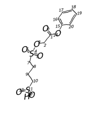 O=C(COS(=O)(=O)CCCC[SH](=O)=O)Oc1ccccc1